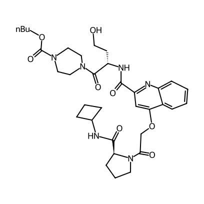 CCCCOC(=O)N1CCN(C(=O)[C@H](CCO)NC(=O)c2cc(OCC(=O)N3CCC[C@H]3C(=O)NC3CCC3)c3ccccc3n2)CC1